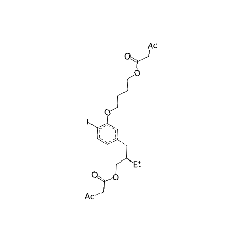 CCC(COC(=O)CC(C)=O)Cc1ccc(I)c(OCCCCOC(=O)CC(C)=O)c1